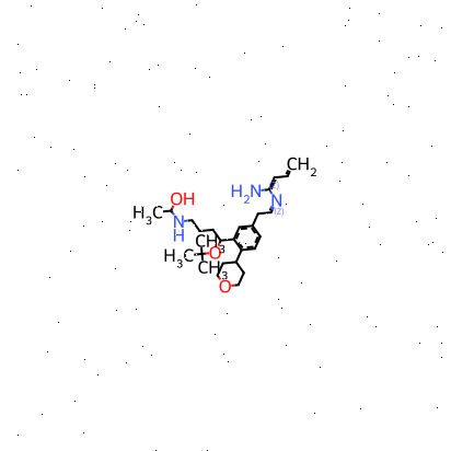 C=C/C=C(N)\N=C/Cc1ccc(C2CCOCC2)c(C(CCCNC(C)O)OC(C)(C)C)c1